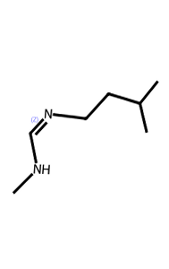 CN/C=N\CCC(C)C